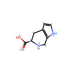 O=C(O)[C@H]1Cc2cc[nH]c2CN1